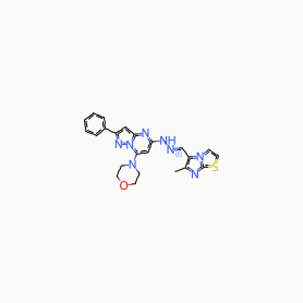 Cc1nc2sccn2c1/C=N/Nc1cc(N2CCOCC2)n2nc(-c3ccccc3)cc2n1